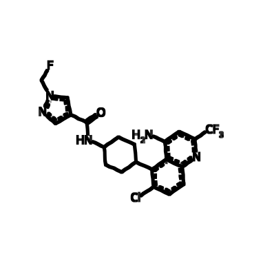 Nc1cc(C(F)(F)F)nc2ccc(Cl)c(C3CCC(NC(=O)c4cnn(CF)c4)CC3)c12